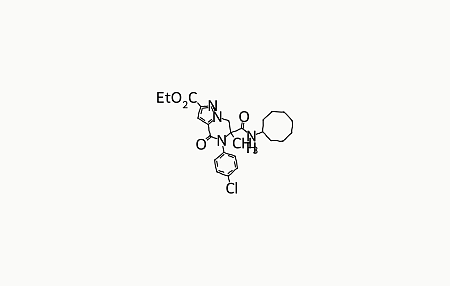 CCOC(=O)c1cc2n(n1)CC(C)(C(=O)NC1CCCCCCC1)N(c1ccc(Cl)cc1)C2=O